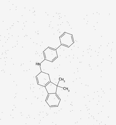 CC1(C)C2=C(C=CC(Nc3ccc(-c4ccccc4)cc3)C2)c2ccccc21